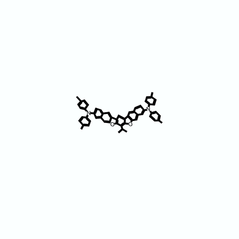 Cc1ccc(N(c2ccc(C)cc2)c2ccc3cc4c(cc3c2)oc2c(C(C)C)c3oc5cc6cc(N(c7ccc(C)cc7)c7ccc(C)cc7)ccc6cc5c3cc24)cc1